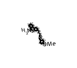 COc1ccc(COCCCCc2ccc(-c3ccccc3C(N)=S)cc2)cc1